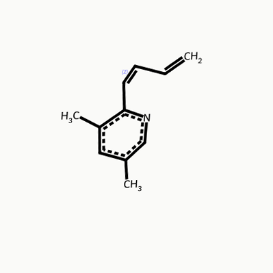 C=C/C=C\c1ncc(C)cc1C